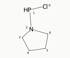 ClPN1CCCC1